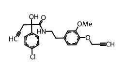 C#CCOc1ccc(CCNC(=O)C(O)(CC#C)c2ccc(Cl)cc2)cc1OC